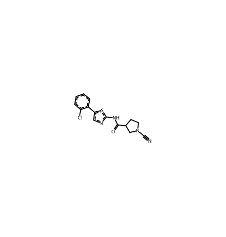 N#CN1CCC(C(=O)Nc2ncc(-c3ccccc3Cl)s2)C1